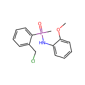 COc1ccccc1NP(C)(=O)c1ccccc1CCl